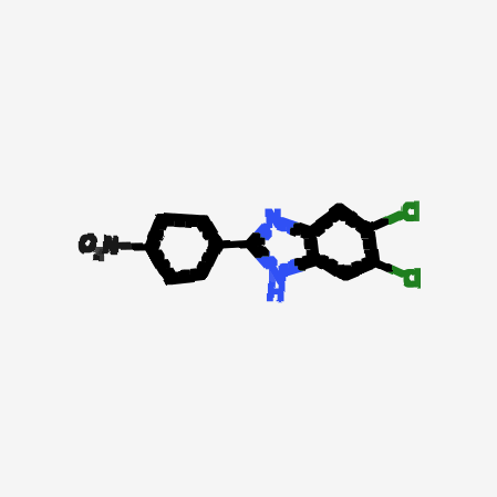 O=[N+]([O-])c1ccc(-c2nc3cc(Cl)c(Cl)cc3[nH]2)cc1